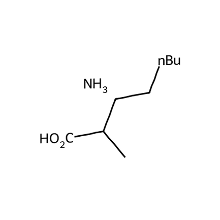 CCCCCCC(C)C(=O)O.N